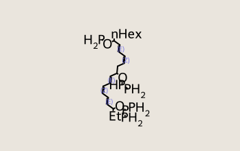 CCCCCCC(/C=C/C=C\CC(/C=C/C=C\C=C\C(CC)OP(P)P)OPP)OP